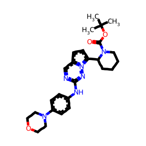 CC(C)(C)OC(=O)N1CCCCC1c1ccc2cnc(Nc3ccc(N4CCOCC4)cc3)nn12